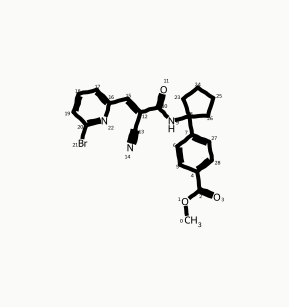 COC(=O)c1ccc(C2(NC(=O)/C(C#N)=C/c3cccc(Br)n3)CCCC2)cc1